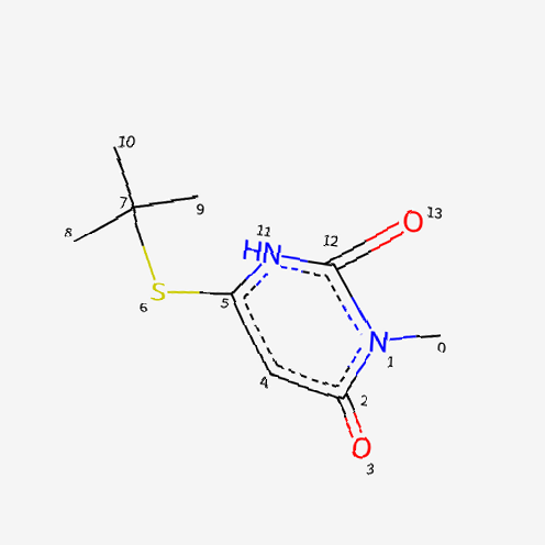 Cn1c(=O)cc(SC(C)(C)C)[nH]c1=O